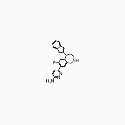 Nc1ccc(-c2cc3c(cc2F)C(c2cc4ccccc4s2)CCNC3)nn1